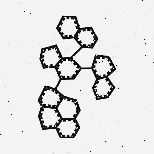 [c]1c(-c2cccc3ccccc23)c(-c2cccc3ccccc23)c2ccccc2c1-c1ccc2ccc3cccc4ccc1c2c34